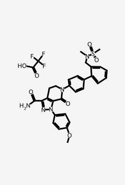 COc1ccc(-n2nc(C(N)=O)c3c2C(=O)N(c2ccc(-c4ccccc4CN(C)S(C)(=O)=O)cc2)CC3)cc1.O=C(O)C(F)(F)F